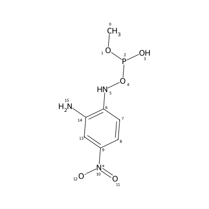 COP(O)ONc1ccc([N+](=O)[O-])cc1N